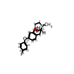 CN1CC[C@]23CCCC[C@H]2[C@H]1Cc1ccc(Oc2ccc(F)cc2)cc13